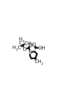 C=C1CCN(C(=O)OC(C)(C)C)[C@H](C(=O)O)C1